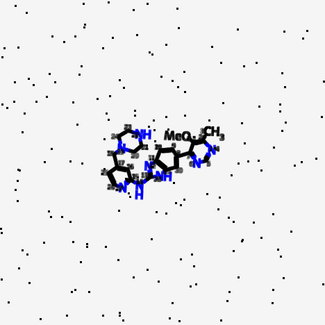 COc1c(C)ncnc1-c1ccc2nc(Nc3cc(CN4CCNCC4)ccn3)[nH]c2c1